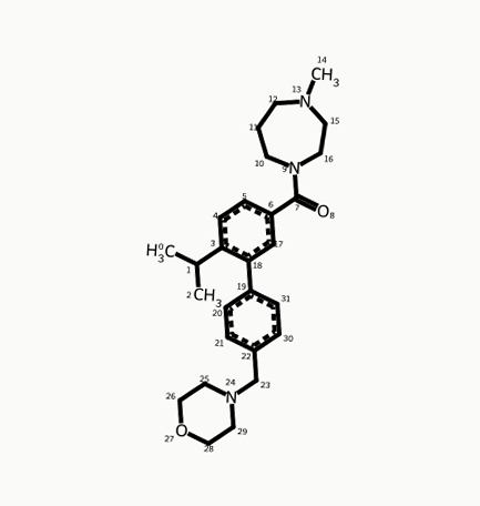 CC(C)c1ccc(C(=O)N2CCCN(C)CC2)cc1-c1ccc(CN2CCOCC2)cc1